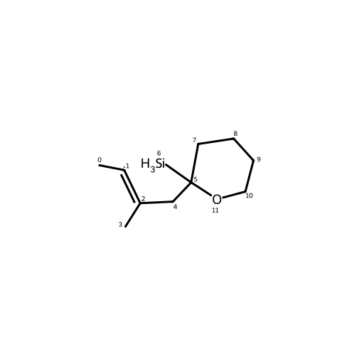 C[C]=C(C)CC1([SiH3])CCCCO1